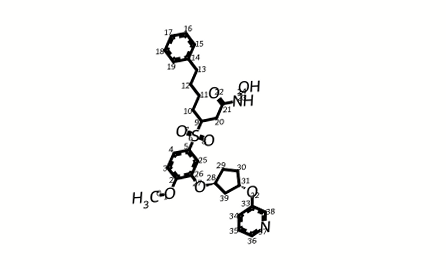 COc1ccc(S(=O)(=O)C(CCCCc2ccccc2)CC(=O)NO)cc1O[C@H]1CC[C@H](Oc2cccnc2)C1